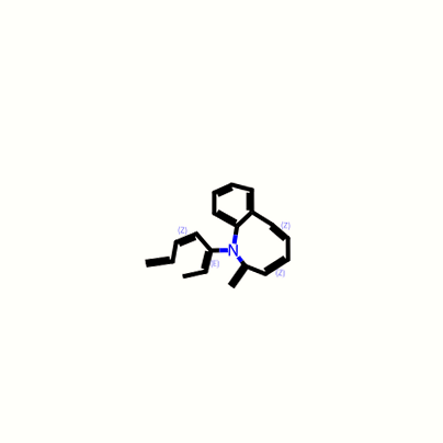 C=C/C=C\C(=C/C)N1C(=C)/C=C\C=C/c2ccccc21